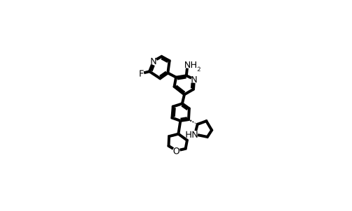 Nc1ncc(-c2ccc(C3CCOCC3)c([C@@H]3CCCN3)c2)cc1-c1ccnc(F)c1